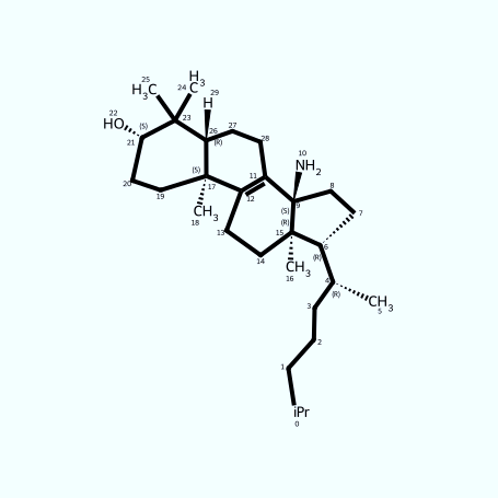 CC(C)CCC[C@@H](C)[C@H]1CC[C@@]2(N)C3=C(CC[C@]12C)[C@@]1(C)CC[C@H](O)C(C)(C)[C@@H]1CC3